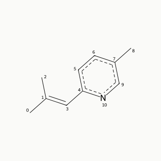 CC(C)=Cc1ccc(C)cn1